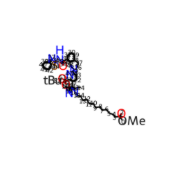 COC(=O)CCCCCCCCCCCCCn1nc(C)c(-c2ccc(N3CCc4cccc(C(=O)Nc5nc6ccccc6s5)c4C3)nc2C(=O)OC(C)(C)C)c1C